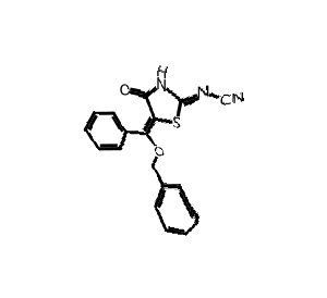 N#CN=C1NC(=O)C(=C(OCc2ccccc2)c2ccccc2)S1